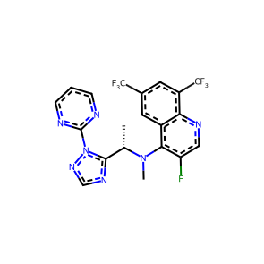 C[C@@H](c1ncnn1-c1ncccn1)N(C)c1c(F)cnc2c(C(F)(F)F)cc(C(F)(F)F)cc12